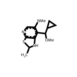 CNc1cnc2c(c1C(OC)C1CC1)NC(C)S2